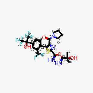 C[C@H]1CCCN1C(=O)c1nc(C(=N)OC(=N)C(C)(C)O)sc1-c1ccc(C(O)(C(F)(F)F)C(F)(F)F)cc1C(F)F